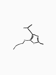 CCCOc1sc(C)nc1C(C)C